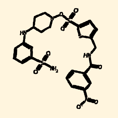 NS(=O)(=O)c1cccc(NC2CCN(OS(=O)(=O)c3ccc(CNC(=O)c4cccc([N+](=O)[O-])c4)s3)CC2)c1